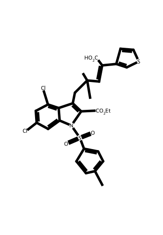 CCOC(=O)c1c(CC(C)(C)/C=C(\C(=O)O)c2ccsc2)c2c(Cl)cc(Cl)cc2n1S(=O)(=O)c1ccc(C)cc1